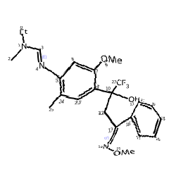 CCN(C)/C=N/c1cc(OC)c(C(O)(C/C(=N/OC)c2ccccc2)C(F)(F)F)cc1C